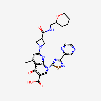 Cc1cc(N2CC(C(=O)NCC3CCCCO3)C2)nc2c1c(=O)c(C(=O)O)cn2-c1nc(-c2cnccn2)ns1